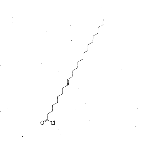 CCCCCCCCCCCCCCC=CCCCCCCCC(=O)Cl